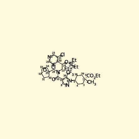 CCOC(=O)[C@]1(C)CC[C@@H](n2ncc(C(=O)N(CC(O[Si](CC)(CC)CC)c3c(Cl)cncc3Cl)CC34CCC(CC3)O4)c2C(F)(F)F)CC1